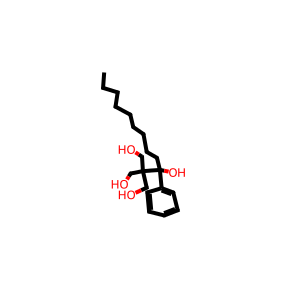 CCCCCCCCCC(O)(c1ccccc1)C(CO)(CO)CO